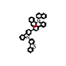 c1ccc(N(c2cccc3ccccc23)c2cccc3ccccc23)c(-c2ccc(-c3ccc4c5ccccc5n(-c5ccc6sc7ccccc7c6c5)c4c3)cc2)c1